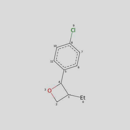 CC[C]1COC1c1ccc(Cl)cc1